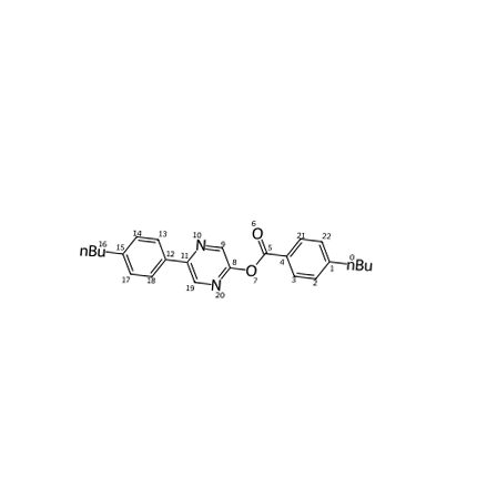 CCCCc1ccc(C(=O)Oc2cnc(-c3ccc(CCCC)cc3)cn2)cc1